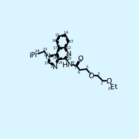 CCOCCOCCC(=O)Nc1nc2ccccc2c2c1ncn2CC(C)C